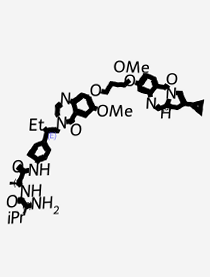 CC/C(=C\N1CC=Nc2cc(OCCCOc3cc4c(cc3OC)C(=O)N3C=C(C5CC5)C[C@H]3C=N4)c(OC)cc2C1=O)c1ccc(NC(=O)[C@H](C)NC(=O)[C@@H](N)C(C)C)cc1